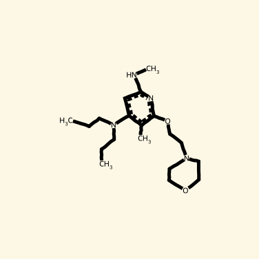 CCCN(CCC)c1cc(NC)nc(OCCN2CCOCC2)c1C